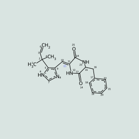 C=CC(C)(C)c1[nH]cnc1/C=C1\NC(=O)C(Cc2ccccc2)NC1=O